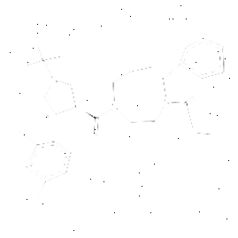 COC(=O)N1CCN(C(=O)[C@@H]2CN(C(C)(C)C)C[C@H]2c2ccc(F)cc2F)CCCC1c1ccccc1